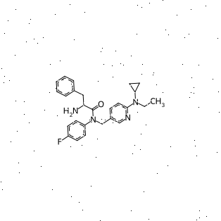 CCN(c1ccc(CN(C(=O)C(N)Cc2ccccc2)c2ccc(F)cc2)cn1)C1CC1